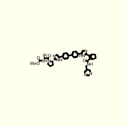 COC(=O)N[C@H](C(=O)N1CCC[C@H]1c1ncc(-c2ccc(-c3ccc(-c4cnc(C5C6CCC(C6)C5C(=O)NCc5cncnc5)[nH]4)cc3)cc2)[nH]1)C(C)C